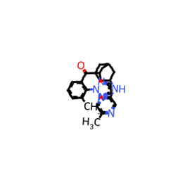 Cc1cnc(NC2CC3CCC2C(C(=O)c2cccc(C)c2-n2nccn2)C3)cn1